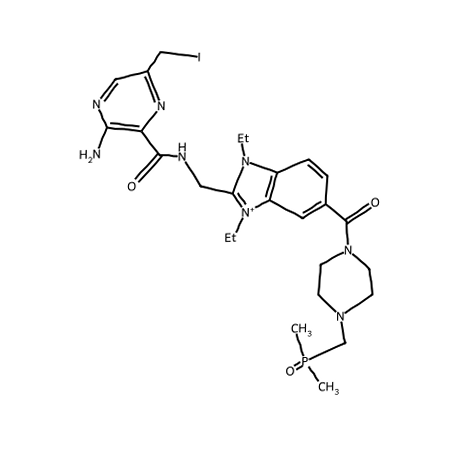 CCn1c(CNC(=O)c2nc(CI)cnc2N)[n+](CC)c2cc(C(=O)N3CCN(CP(C)(C)=O)CC3)ccc21